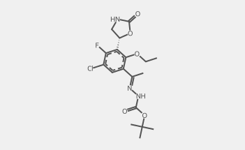 CCOc1c(/C(C)=N/NC(=O)OC(C)(C)C)cc(Cl)c(F)c1[C@@H]1CNC(=O)O1